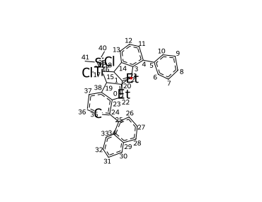 CCC1=Cc2c(-c3ccccc3)cccc2[CH]1[Ti]([Cl])([Cl])([CH]1C(CC)=Cc2c(-c3cccc4ccccc34)cccc21)=[Si](C)C